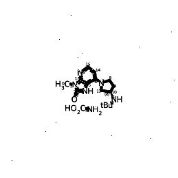 Cn1c(=O)[nH]c2c(N3CC[C@@H](NC(C)(C)C)C3)ccnc21.NC(=O)O